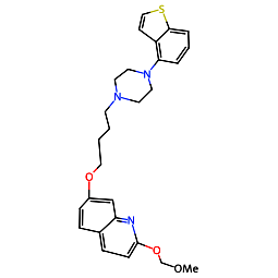 COCOc1ccc2ccc(OCCCCN3CCN(c4cccc5sccc45)CC3)cc2n1